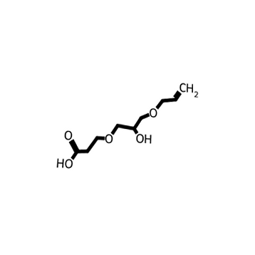 C=CCOCC(O)COCCC(=O)O